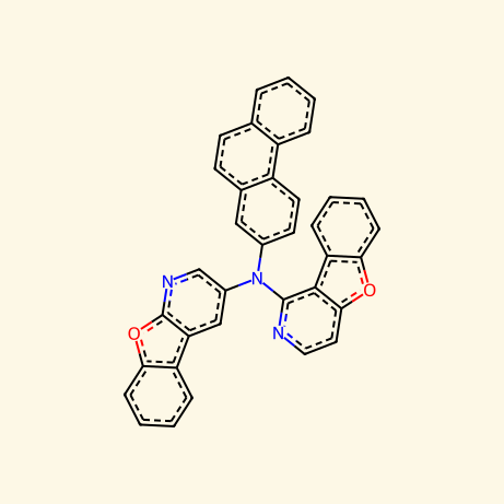 c1ccc2c(c1)ccc1cc(N(c3cnc4oc5ccccc5c4c3)c3nccc4oc5ccccc5c34)ccc12